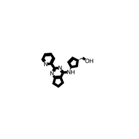 OC[C@H]1C=C[C@@H](Nc2nc(-c3ccccn3)nc3c2CCC3)C1